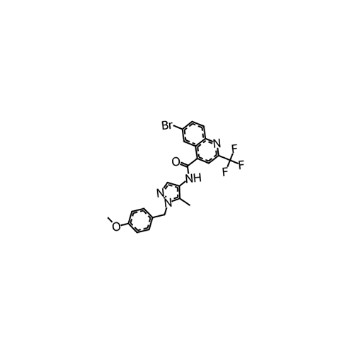 COc1ccc(Cn2ncc(NC(=O)c3cc(C(F)(F)F)nc4ccc(Br)cc34)c2C)cc1